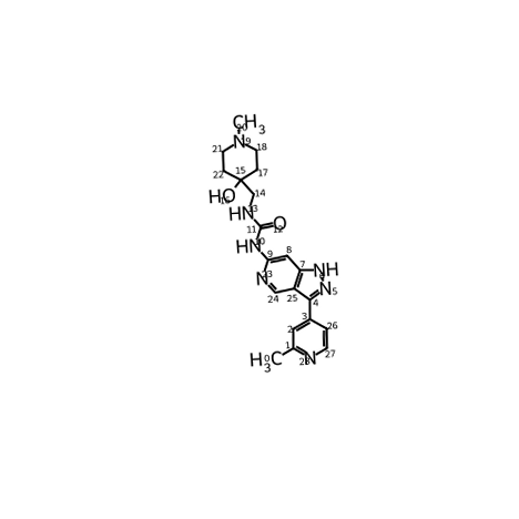 Cc1cc(-c2n[nH]c3cc(NC(=O)NCC4(O)CCN(C)CC4)ncc23)ccn1